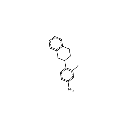 Nc1ccc(C2CCc3ccccc3C2)c(F)c1